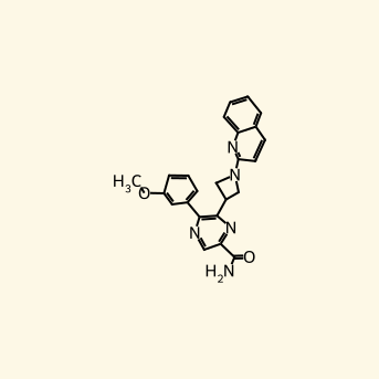 COc1cccc(-c2ncc(C(N)=O)nc2C2CN(c3ccc4ccccc4n3)C2)c1